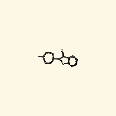 Cc1ccc(C2=Nc3ccccc3C2=O)cc1